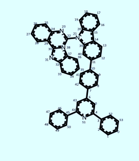 c1ccc(-c2cc(-c3ccc(-c4ccc5c6ccccc6n(-c6nc7ccccc7c7nc8ccccc8n67)c5c4)cc3)cc(-c3ccccc3)n2)cc1